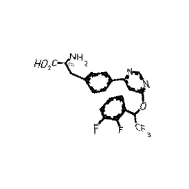 N[C@@H](Cc1ccc(-c2cc(OC(c3cccc(F)c3F)C(F)(F)F)ncn2)cc1)C(=O)O